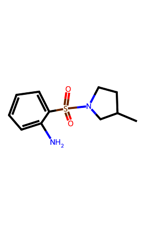 CC1CCN(S(=O)(=O)c2ccccc2N)C1